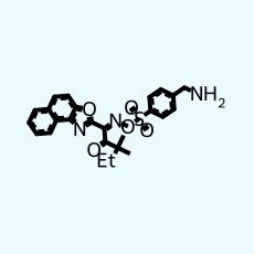 CCC(C)(C)C(=O)/C(=N\OS(=O)(=O)c1ccc(CN)cc1)c1nc2c(ccc3ccccc32)o1